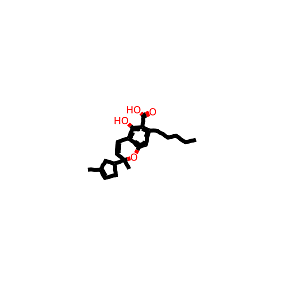 CCCCCc1cc2c(c(O)c1C(=O)O)C=CC(C)(C1CC=C(C)C1)O2